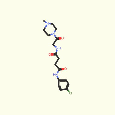 CN1CCN(C(=O)CNC(=O)CCC(=O)Nc2ccc(Cl)cc2)CC1